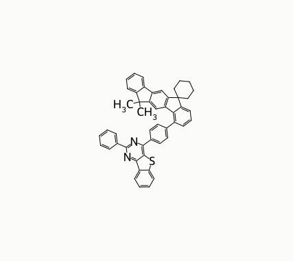 CC1(C)c2ccccc2-c2cc3c(cc21)-c1c(-c2ccc(-c4nc(-c5ccccc5)nc5c4sc4ccccc45)cc2)cccc1C31CCCCC1